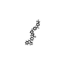 CN(c1ccc(C(F)(F)F)cc1)c1ccc(Oc2ccc3c(c2)cc(C(=O)N2CCN(C(Cc4ccccc4)C4=COCO4)CC2)n3C)nc1